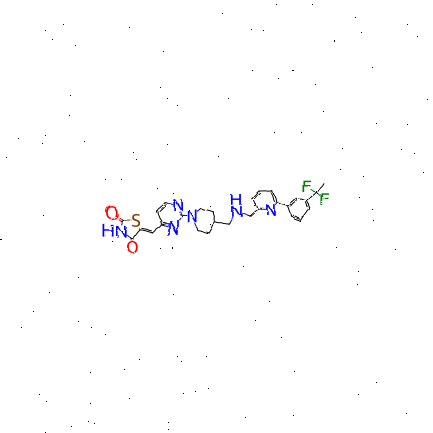 CC(F)(F)c1cccc(-c2cccc(CNCC3CCN(c4nccc(/C=C5\SC(=O)NC5=O)n4)CC3)n2)c1